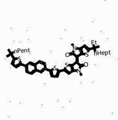 CCCCCCCC(C)(CC)c1cc2c(s1)/C(=C1\C(=O)N(C)c3cc(-c4ccc(-c5ccc6cc(-c7ccc(C(C)(C)CCCCC)s7)ccc6c5)s4)sc31)C(=O)N2C